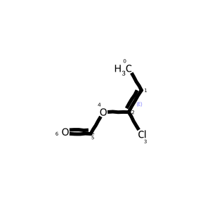 C/C=C(/Cl)O[C]=O